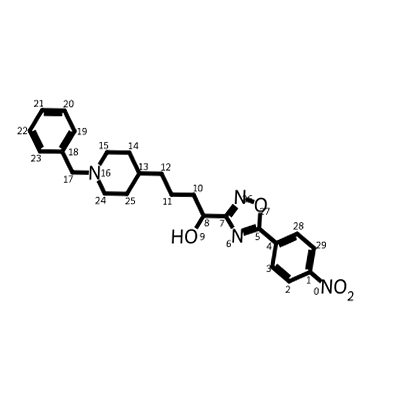 O=[N+]([O-])c1ccc(-c2nc(C(O)CCCC3CCN(Cc4ccccc4)CC3)no2)cc1